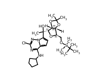 CC1(C)O[C@@H]2[C@H](O1)[C@@H](CO[Si](C)(C)C(C)(C)C)O[C@@H]2C(C)(O)c1ccc2c(NC3CCCC3)nc(Cl)nn12